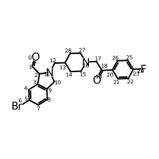 O=CC1c2cc(Br)ccc2CN1CC1CCN(CC(=O)c2ccc(F)cc2)CC1